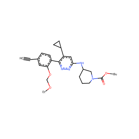 C#Cc1ccc(-c2nnc(NC3CCCN(C(=O)OC(C)(C)C)C3)cc2C2CC2)c(OCOCC)c1